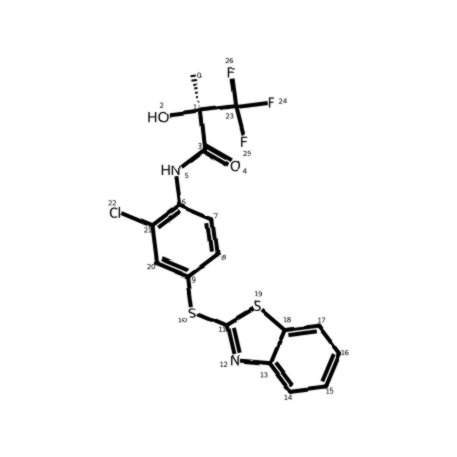 C[C@@](O)(C(=O)Nc1ccc(Sc2nc3ccccc3s2)cc1Cl)C(F)(F)F